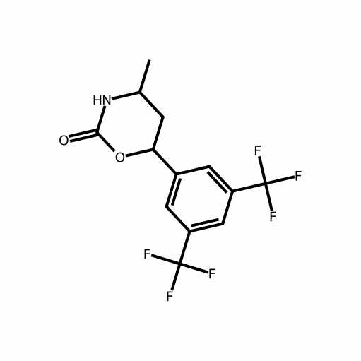 CC1CC(c2cc(C(F)(F)F)cc(C(F)(F)F)c2)OC(=O)N1